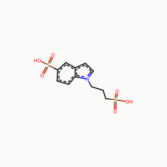 O=S(=O)(O)CCCn1ccc2cc(S(=O)(=O)O)ccc21